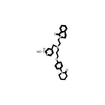 Cl.Cl.O=C1CCCCN1c1ccc(OCCCN(CCn2ccc3ccccc3c2=O)Cc2ccncc2)cc1